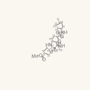 COC(=O)c1ccc(C2Nc3ccc(S(=O)(=O)Nc4ccc(C)c(C)c4)cc3[C@H]3NCC[C@@H]23)cc1